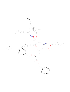 C=CCCCCC(=O)O[C@H]1/C(=C/C(=O)OC)C[C@@H](C[C@@H](OCc2ccc(OC)cc2)[C@H](C)OCc2ccccc2)O[C@@]1(OC)C(C)(C)/C=C/C(OC)OC